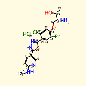 CC(C)Nc1ccc(-c2nnc(-c3cc(F)c(OC[C@@H](N)[C@H](C)O)cc3Cl)s2)cn1.Cl